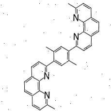 Cc1ccc2ccc3ccc(-c4cc(C)c(-c5ccc6ccc7ccc(C)nc7c6n5)cc4C)nc3c2n1